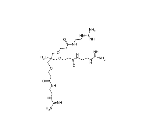 CC(COCCC(=O)NCCNC(=N)N)(COCCC(=O)NCCNC(=N)N)COCCC(=O)NCCNC(=N)N